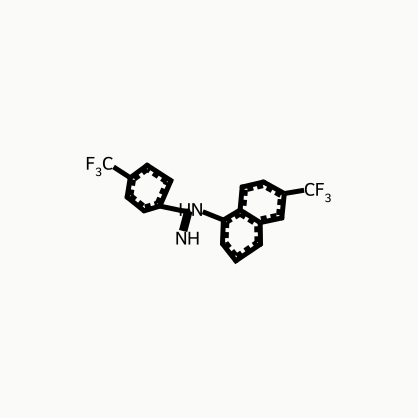 N=C(Nc1cccc2cc(C(F)(F)F)ccc12)c1ccc(C(F)(F)F)cc1